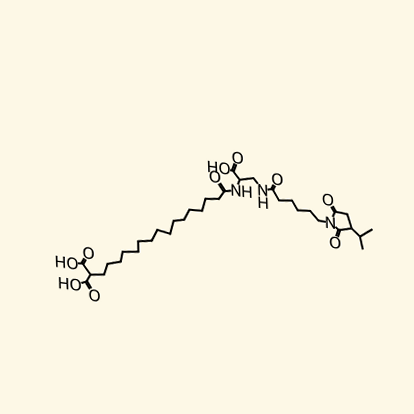 CC(C)C1CC(=O)N(CCCCCC(=O)NCC(NC(=O)CCCCCCCCCCCCCCCC(C(=O)O)C(=O)O)C(=O)O)C1=O